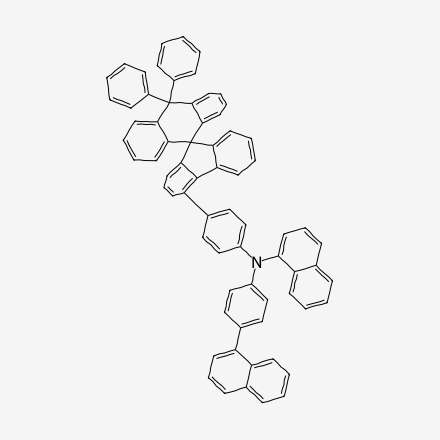 c1ccc(C2(c3ccccc3)c3ccccc3C3(c4ccccc4-c4c(-c5ccc(N(c6ccc(-c7cccc8ccccc78)cc6)c6cccc7ccccc67)cc5)cccc43)c3ccccc32)cc1